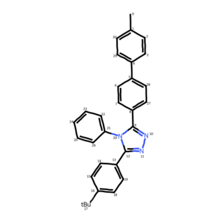 Cc1ccc(-c2ccc(-c3nnc(-c4ccc(C(C)(C)C)cc4)n3-c3ccccc3)cc2)cc1